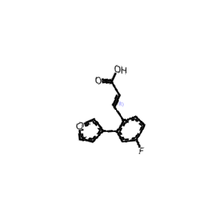 O=C(O)/C=C/c1ccc(F)cc1-c1ccoc1